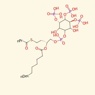 CCCCCCCCCCCCCCCC(=O)O[C@H](CCSC(=O)CCC)COP(=O)(O)OC1C(O)[C@H](OP(=O)(O)O)C(OP(=O)(O)O)[C@@H](OP(=O)(O)O)C1O